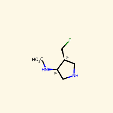 O=C(O)N[C@@H]1CNC[C@@H]1CF